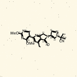 COc1ncc(-c2cc(C)c3c(n2)CN(c2cnn(C(C)(C)C#N)c2)C3=O)c(OC)n1